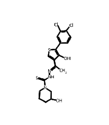 C/C(=N\NC(=S)N1CCCC(O)C1)c1csc(-c2ccc(Cl)c(Cl)c2)c1O